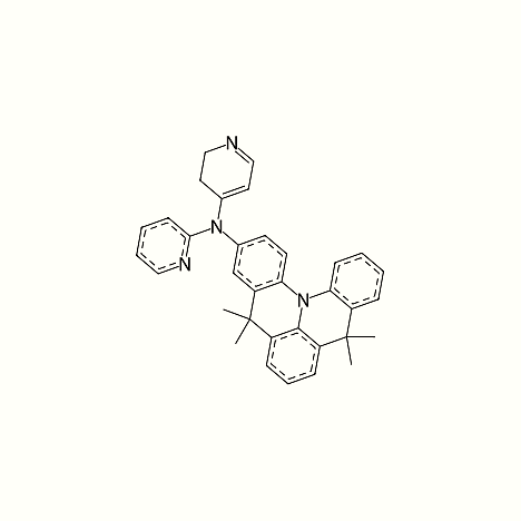 CC1(C)c2ccccc2N2c3ccc(N(C4=CC=NCC4)c4ccccn4)cc3C(C)(C)c3cccc1c32